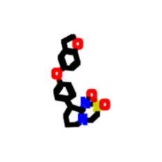 O=S1(=O)CCN2CCCC(c3ccc(Oc4ccc5c(c4)CCO5)cc3)C2=N1